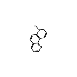 ClN1CC=Cc2c1ccc1cccnc21